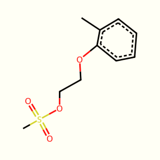 Cc1ccccc1OCCOS(C)(=O)=O